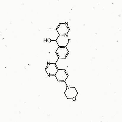 Cc1cncnc1C(O)c1cc(-c2ncnc3cc(N4CCOCC4)ccc23)ccc1F